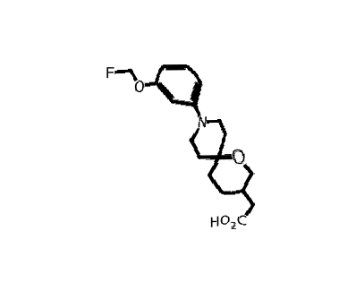 O=C(O)CC1CCC2(CCN(c3cccc(OCF)c3)CC2)OC1